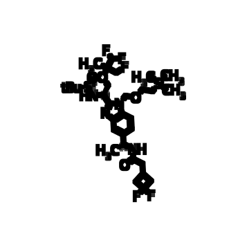 C[C@@H](NC(=O)CC1CC(F)(F)C1)c1ccc2c(c1)nc([C@H](COC(C)(CF)C(F)F)N[S@+]([O-])C(C)(C)C)n2COCC[Si](C)(C)C